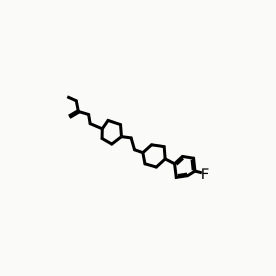 C=C(CC)CCC1CCC(CCC2CCC(c3ccc(F)cc3)CC2)CC1